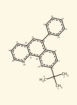 CC(C)(C)c1ccc2c(-c3ccccc3)cc3cccnc3c2n1